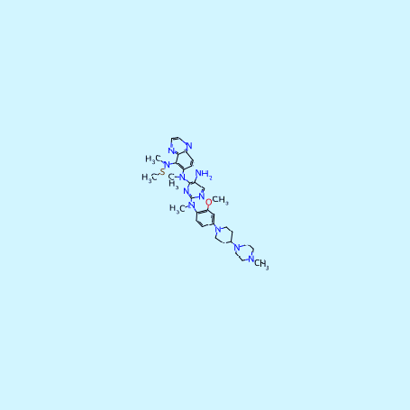 COc1cc(N2CCC(N3CCN(C)CC3)CC2)ccc1N(C)c1ncc(N)c(N(C)c2ccc3nccnc3c2N(C)SC)n1